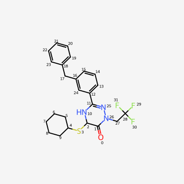 O=C1C(SC2CCCCC2)NC(c2cccc(Cc3ccccc3)c2)=NN1CC(F)(F)F